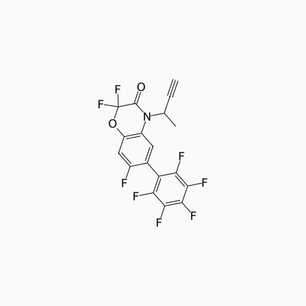 C#CC(C)N1C(=O)C(F)(F)Oc2cc(F)c(-c3c(F)c(F)c(F)c(F)c3F)cc21